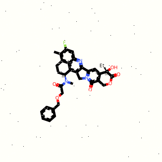 CC[C@@]1(O)C(=O)OCc2c1cc1n(c2=O)Cc2c-1nc1cc(F)c(C)c3c1c2[C@@H](N(C)C(=O)COCc1ccccc1)CC3